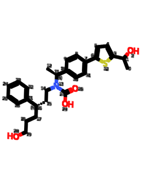 CC(O)c1ccc(-c2ccc([C@H](C)N(CC[C@H](CCCO)c3ccccc3)C(=O)O)cc2)s1